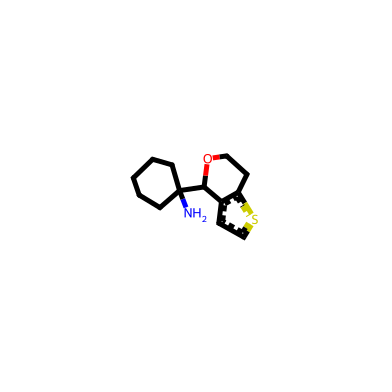 NC1(C2OCCc3sccc32)CCCCC1